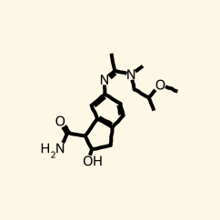 COC(C)CN(C)C(C)=Nc1ccc2c(c1)C(C(N)=O)C(O)C2